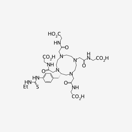 CCNC(=S)Nc1ccc(C[C@H]2CN(CC(=O)NCC(=O)O)CCN(CC(=O)NCC(=O)O)CCN(CC(=O)NCC(=O)O)CCN2CC(=O)NCC(=O)O)cc1